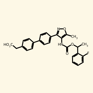 Cc1onc(-c2ccc(-c3ccc(CC(=O)O)cc3)cc2)c1NC(=O)OC(C)c1ccccc1F